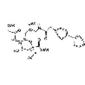 COC(=O)[C@@]1(SC(C)=O)C[C@H](O)[C@@H](NC(=O)COC(C)=O)[C@H](C[C@@H](CNC(=O)Cc2ccc(-c3ccccc3)cc2)OC(C)=O)O1